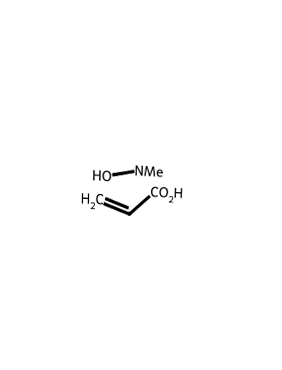 C=CC(=O)O.CNO